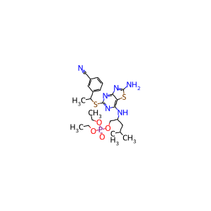 CCOP(=O)(OCC)OCC(CC(C)C)Nc1nc(SC(C)c2cccc(C#N)c2)nc2nc(N)sc12